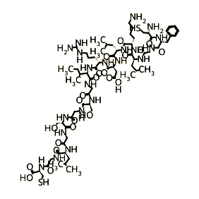 CC[C@H](C)[C@H](NC(=O)[C@H](CCCNC(=N)N)NC(=O)[C@H](CC(=O)O)NC(=O)[C@H](CC(C)C)NC(=O)[C@H](CCCCN)NC(=O)[C@H](CC(C)C)NC(=O)CNC(=O)[C@H](Cc1ccccc1)NC(=O)[C@@H](N)CS)C(=O)NCC(=O)N[C@@H](CO)C(=O)NCC(=O)N[C@@H](CO)C(=O)NCC(=O)N[C@@H](CC(C)C)C(=O)NCC(=O)N[C@@H](CS)C(=O)O